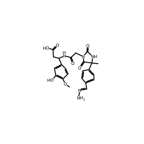 COc1ccc(C(CC(=O)O)NC(=O)CN2C(=O)NC(C)(c3ccc(C=NN)cc3)C2=O)cc1O